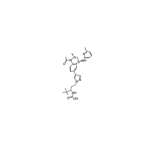 CC(=O)N1c2ccc(-c3cnn(CCC(NC(=O)O)C(C)(C)C)c3)cc2[C@H](Nc2cccc(C)n2)C[C@@H]1C